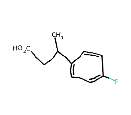 CC(CC(=O)O)c1ccc(F)cc1